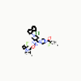 C=C(F)C(=O)N1CCN(c2nc(OCCN(C)C3(CF)CCC3)nc3c2CCN(c2cccc4cccc(Cl)c24)C3)CC1